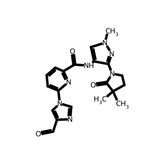 Cn1cc(NC(=O)c2cccc(-n3cnc(C=O)c3)n2)c(N2CCC(C)(C)C2=O)n1